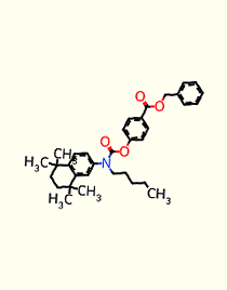 CCCCCN(C(=O)Oc1ccc(C(=O)OCc2ccccc2)cc1)c1ccc2c(c1)C(C)(C)CCC2(C)C